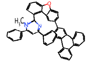 CN1C(c2ccccc2)=CC(c2ccccc2)=NC1c1cccc2oc3ccc(-c4ccc5c6ccccc6c6ccccc6c5c4)cc3c12